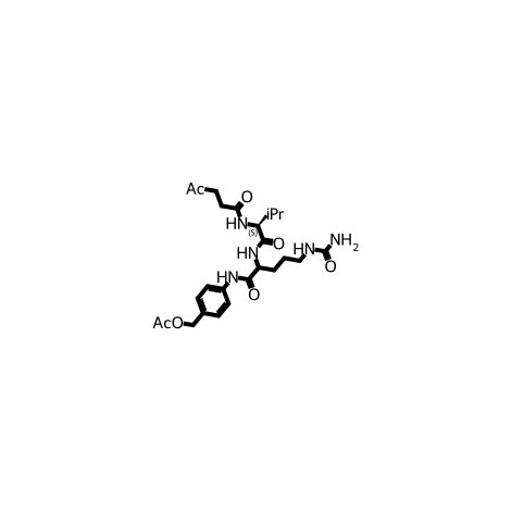 CC(=O)CCC(=O)N[C@H](C(=O)NC(CCCNC(N)=O)C(=O)Nc1ccc(COC(C)=O)cc1)C(C)C